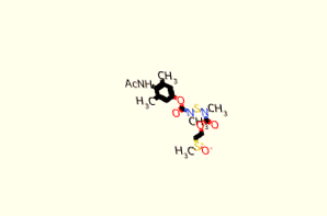 CC(=O)Nc1c(C)cc(OC(=O)N(C)SN(C)C(=O)OCC[S+](C)[O-])cc1C